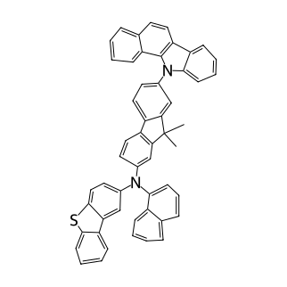 CC1(C)c2cc(N(c3ccc4sc5ccccc5c4c3)c3cccc4ccccc34)ccc2-c2ccc(-n3c4ccccc4c4ccc5ccccc5c43)cc21